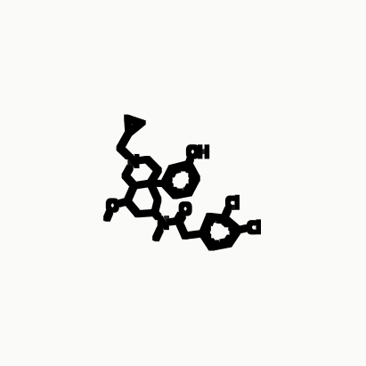 COC1CC(N(C)C(=O)Cc2ccc(Cl)c(Cl)c2)CC2(c3cccc(O)c3)CCN(CC3CC3)CC12